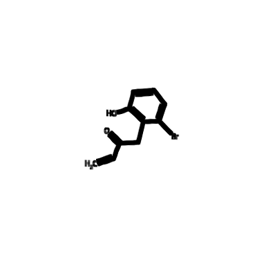 C=CC(=O)Cc1c(O)cccc1Br